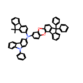 CC1(C)c2ccccc2-c2ccc(N(c3ccc4c(c3)Oc3ccc5c(c3O4)-c3ccccc3C5(c3ccccc3)c3ccccc3)c3ccc4c(c3)c3ccccc3n4-c3ccccc3)cc21